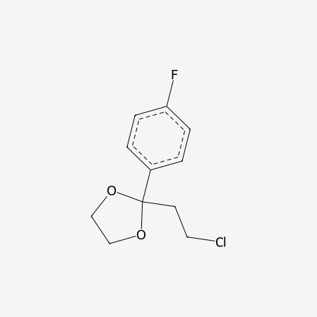 Fc1ccc(C2(CCCl)OCCO2)cc1